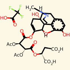 CC(=O)O[C@@H](C(=O)OC1=CC[C@@]2(O)[C@H]3Cc4ccc(O)c5c4[C@@]2(CCN3C)[C@H]1O5)[C@@H](OC(C)=O)C(=O)O[C@H](CC(=O)O)C(=O)O.O=C(O)C(F)(F)F